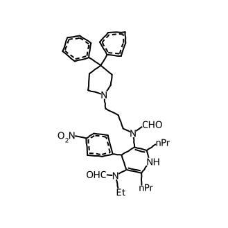 CCCC1=C(N(C=O)CC)C(c2ccc([N+](=O)[O-])cc2)C(N(C=O)CCCN2CCC(c3ccccc3)(c3ccccc3)CC2)=C(CCC)N1